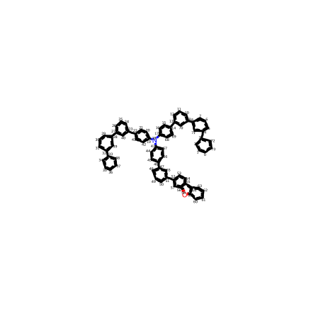 c1ccc(-c2cccc(-c3cccc(-c4ccc(N(c5ccc(-c6cccc(-c7cccc(-c8ccccc8)c7)c6)cc5)c5ccc(-c6cccc(-c7ccc8c(c7)oc7ccccc78)c6)cc5)cc4)c3)c2)cc1